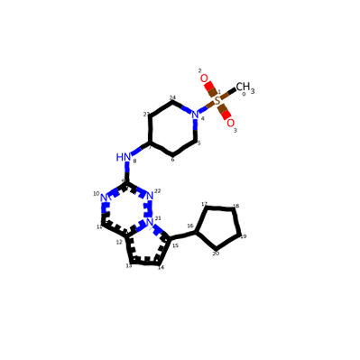 CS(=O)(=O)N1CCC(Nc2ncc3ccc(C4CCCC4)n3n2)CC1